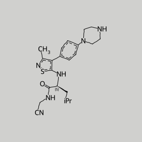 Cc1nsc(N[C@@H](CC(C)C)C(=O)NCC#N)c1-c1ccc(N2CCNCC2)cc1